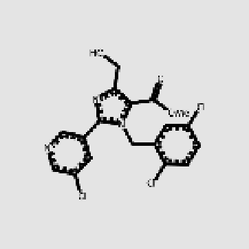 COC(=O)c1c(CO)nc(-c2cncc(Cl)c2)n1Cc1cc(Cl)ccc1Cl